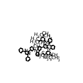 Cc1ccc(-c2nc(-c3ccccc3)cc(-c3ccccc3)n2)cc1-n1c2ccccc2c2cc(-c3cc4c5c(c3)N(c3cc(C(C)(C)C)cc(C(C)(C)C)c3)c3ccccc3B5c3ccccc3N4c3cc(C(C)(C)C)cc(C(C)(C)C)c3)ccc21